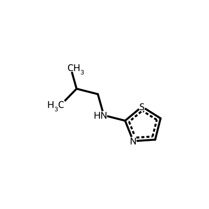 CC(C)CNc1nccs1